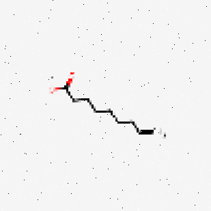 C=CCCCCCCC(=O)[O-].[Li+]